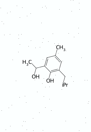 Cc1cc(CC(C)C)c(O)c(C(C)O)c1